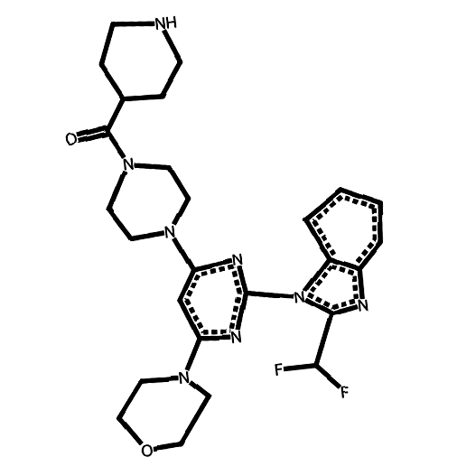 O=C(C1CCNCC1)N1CCN(c2cc(N3CCOCC3)nc(-n3c(C(F)F)nc4ccccc43)n2)CC1